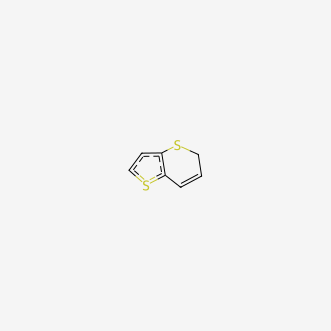 C1=Cc2sccc2SC1